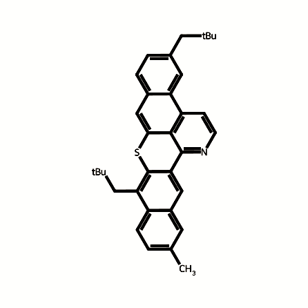 Cc1ccc2c(CC(C)(C)C)c3c(cc2c1)-c1nccc2c1c(cc1ccc(CC(C)(C)C)cc12)S3